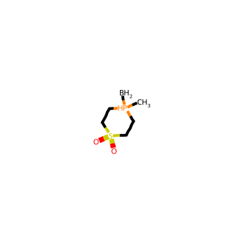 B[PH]1(C)CCS(=O)(=O)CC1